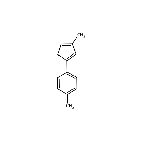 Cc1[c]sc(-c2ccc(C)cc2)c1